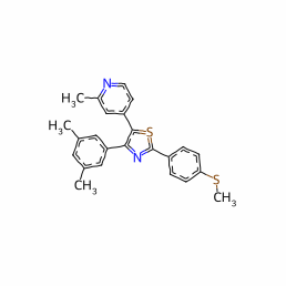 CSc1ccc(-c2nc(-c3cc(C)cc(C)c3)c(-c3ccnc(C)c3)s2)cc1